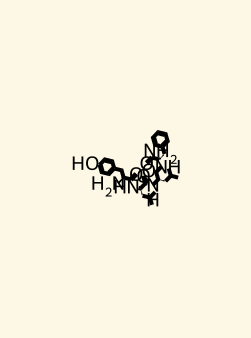 CC(C)C[C@H](NC(=O)[C@H](CC(C)C)NC(=O)[C@@H](N)Cc1ccc(O)cc1)C(=O)N[C@@H](Cc1ccccc1)C(N)=O